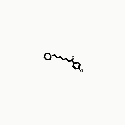 O=C(CCCCCCN1CC[CH]CC1)c1ccc(Cl)cc1